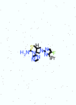 CC(C)c1nc(N2C[C@H]3CSC(N)N[C@@]3(c3cnccn3)C2)ncc1F